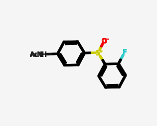 CC(=O)Nc1ccc([S+]([O-])c2ccccc2F)cc1